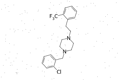 FC(F)(F)c1ccccc1CCN1CCN(Cc2ccccc2Cl)CC1